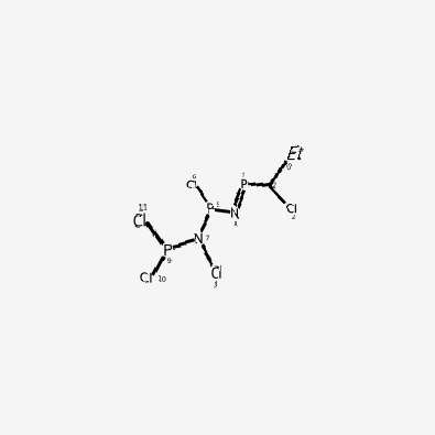 CCC(Cl)P=NP(Cl)N(Cl)P(Cl)Cl